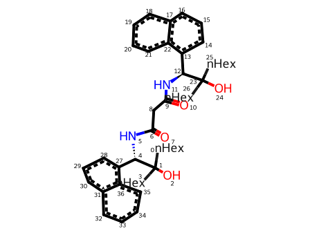 CCCCCCC(O)(CCCCCC)[C@@H](NC(=O)CC(=O)N[C@@H](c1cccc2ccccc12)C(O)(CCCCCC)CCCCCC)c1cccc2ccccc12